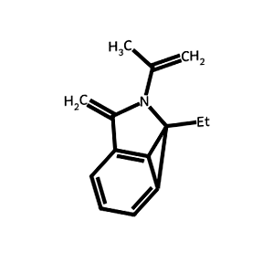 C=C(C)N1C(=C)c2cccc3c2C31CC